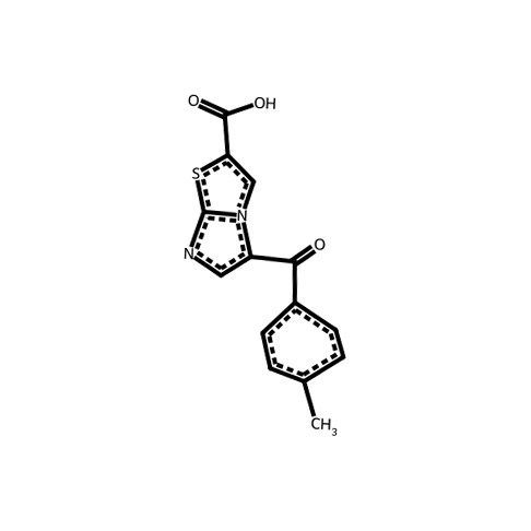 Cc1ccc(C(=O)c2cnc3sc(C(=O)O)cn23)cc1